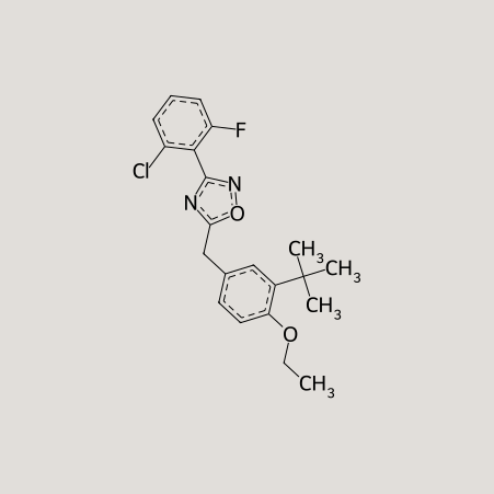 CCOc1ccc(Cc2nc(-c3c(F)cccc3Cl)no2)cc1C(C)(C)C